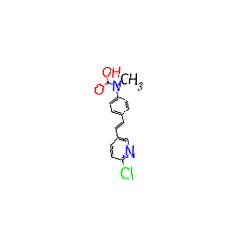 CN(C(=O)O)c1ccc(/C=C/c2ccc(Cl)nc2)cc1